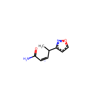 CC(/C=C\C(N)=O)c1ccon1